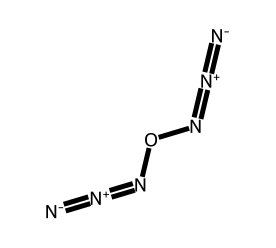 [N-]=[N+]=NON=[N+]=[N-]